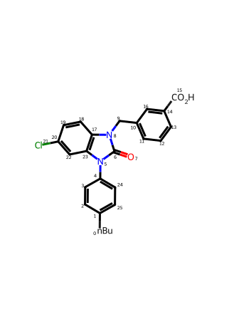 CCCCc1ccc(-n2c(=O)n(Cc3cccc(C(=O)O)c3)c3ccc(Cl)cc32)cc1